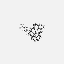 C=CC(=O)N1CCN(c2nc(=O)n(-c3c(C)ncnc3CCC)c3nc(-c4ccccc4F)c(F)cc23)[C@@H](C)C1